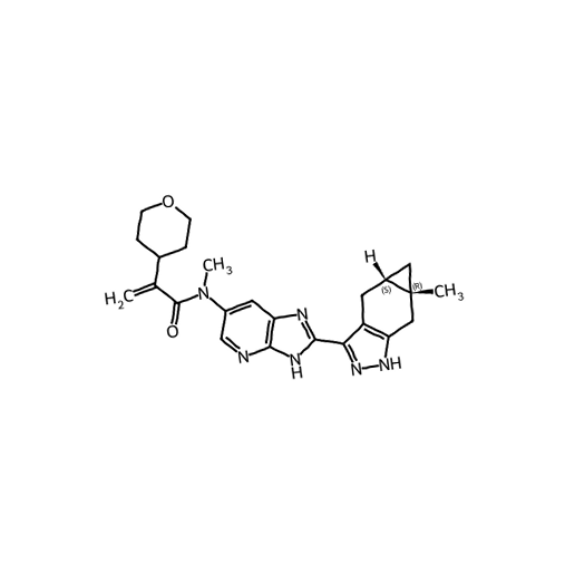 C=C(C(=O)N(C)c1cnc2[nH]c(-c3n[nH]c4c3C[C@@H]3C[C@]3(C)C4)nc2c1)C1CCOCC1